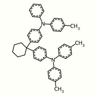 Cc1ccc(N(c2ccccc2)c2ccc(C3(c4ccc(N(c5ccc(C)cc5)c5ccc(C)cc5)cc4)CCCCC3)cc2)cc1